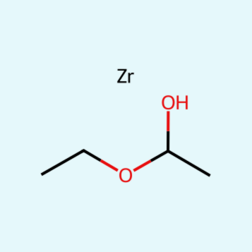 CCOC(C)O.[Zr]